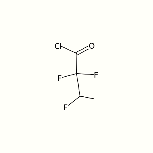 CC(F)C(F)(F)C(=O)Cl